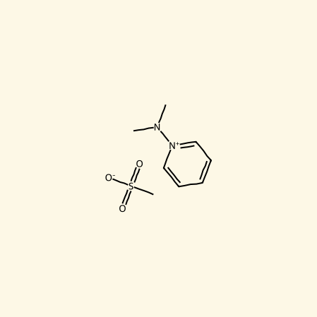 CN(C)[n+]1ccccc1.CS(=O)(=O)[O-]